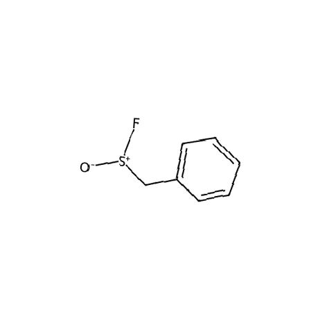 [O-][S+](F)Cc1ccccc1